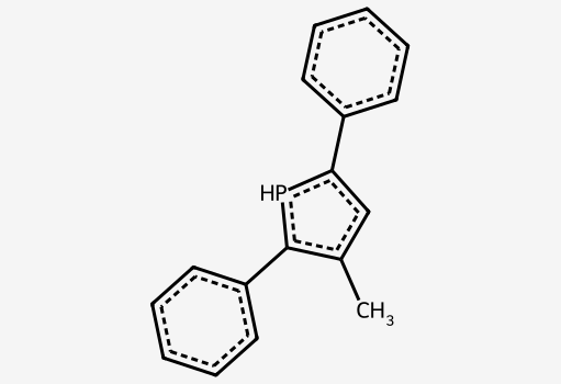 Cc1cc(-c2ccccc2)[pH]c1-c1ccccc1